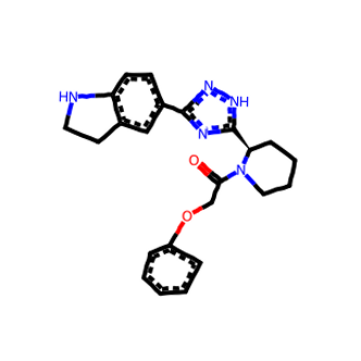 O=C(COc1ccccc1)N1CCCC[C@@H]1c1nc(-c2ccc3c(c2)CCN3)n[nH]1